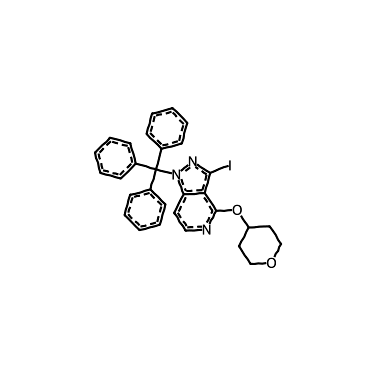 Ic1nn(C(c2ccccc2)(c2ccccc2)c2ccccc2)c2ccnc(OC3CCOCC3)c12